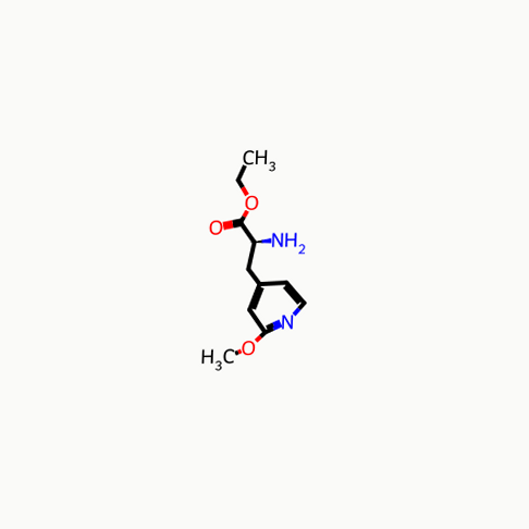 CCOC(=O)[C@@H](N)Cc1ccnc(OC)c1